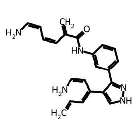 C=C/C=C(\C=C/N)c1c[nH]nc1-c1cccc(NC(=O)C(=C)/C=C\C=C/N)c1